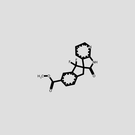 COC(=O)c1ccc2c(c1)C(F)(F)C1(C2)C(=O)Nc2ncccc21